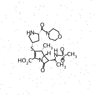 CC(NS(C)(=O)=O)[C@H]1C(=O)N2C(C(=O)O)=C(S[C@@H]3CN[C@H](C(=O)N4CCOCC4)C3)[C@H](C)[C@H]12